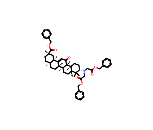 CC1(C)[C@@H](N(CC(=O)OCc2ccccc2)CC(=O)OCc2ccccc2)CC[C@]2(C)[C@H]3C(=O)C=C4[C@@H]5C[C@@](C)(C(=O)OCc6ccccc6)CC[C@]5(C)CC[C@@]4(C)[C@]3(C)CC[C@@H]12